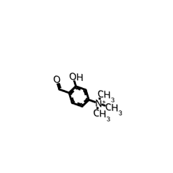 C[N+](C)(C)c1ccc(C=O)c(O)c1